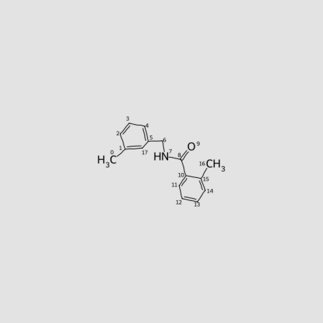 Cc1cccc(CNC(=O)c2ccccc2C)c1